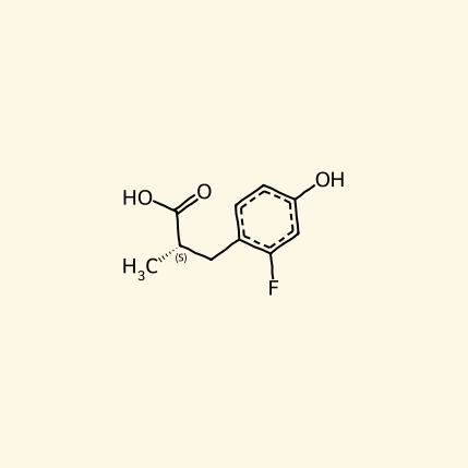 C[C@@H](Cc1ccc(O)cc1F)C(=O)O